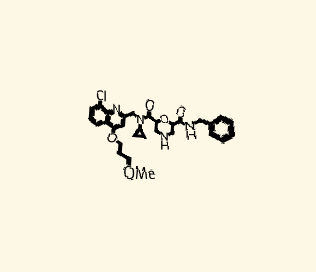 COCCCOc1cc(CN(C(=O)C2CNCC(C(=O)NCc3ccccc3)O2)C2CC2)nc2c(Cl)cccc12